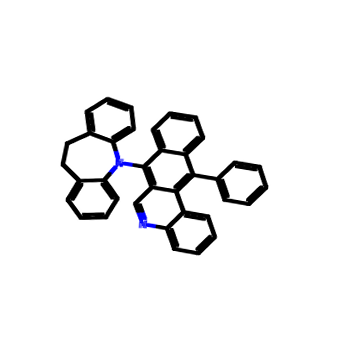 c1ccc(-c2c3ccccc3c(N3c4ccccc4CCc4ccccc43)c3cnc4ccccc4c23)cc1